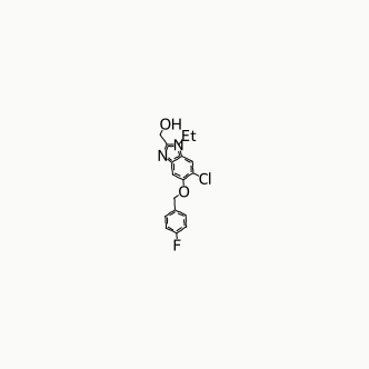 CCn1c(CO)nc2cc(OCc3ccc(F)cc3)c(Cl)cc21